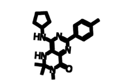 Cc1ccc(-c2nc(NC3CCCC3)c3c(n2)C(=O)N(C)C(C)(C)N3)cc1